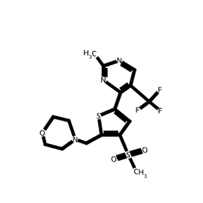 Cc1ncc(C(F)(F)F)c(-c2cc(S(C)(=O)=O)c(CN3CCOCC3)s2)n1